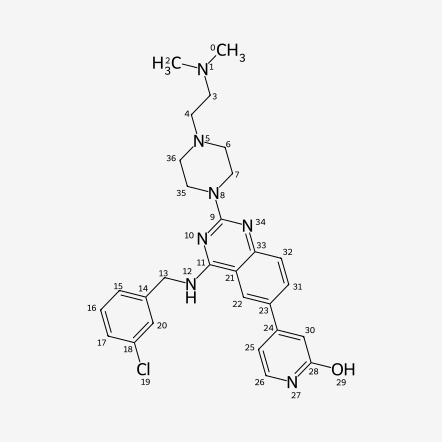 CN(C)CCN1CCN(c2nc(NCc3cccc(Cl)c3)c3cc(-c4ccnc(O)c4)ccc3n2)CC1